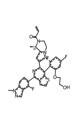 C=CC(=O)N1CCn2nc(-c3nc(-c4ccc5c(cnn5C)c4F)c4ccsc4c3-c3c(F)cc(F)cc3OCCO)cc2[C@H]1C